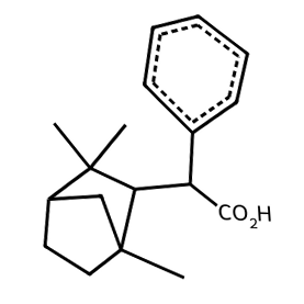 CC12CCC(C1)C(C)(C)C2C(C(=O)O)c1ccccc1